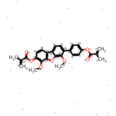 C=C(C)C(=O)Oc1ccc(-c2ccc3c(oc4c(OC)c(OC(=O)C(=C)C)ccc43)c2OC)cc1